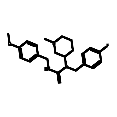 C=C(NCc1ccc(OC)cc1)N(Cc1ccc(F)cc1)[C@@H]1CCCN(C)C1